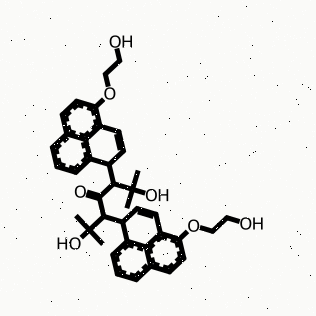 CC(C)(O)C(C(=O)C(C1C=Cc2c(OCCO)ccc3cccc1c23)C(C)(C)O)C1C=Cc2c(OCCO)ccc3cccc1c23